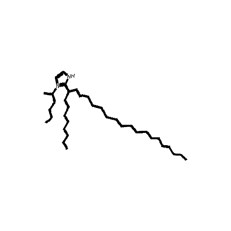 CCCCCCCCCCCCCCCCCCC(CCCCCCCC)c1[nH]cc[n+]1C(C)CCCC